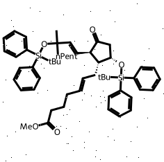 CCCCCC(C)(/C=C/[C@H]1C(=O)C[C@H](O[Si](c2ccccc2)(c2ccccc2)C(C)(C)C)[C@@H]1C/C=C/CCCC(=O)OC)O[Si](c1ccccc1)(c1ccccc1)C(C)(C)C